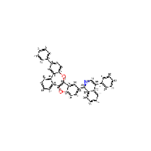 c1ccc(-c2ccc3c(c2)-c2ccccc2-c2oc4ccc(-c5ncc(-c6ccccc6)c6ccccc56)cc4c2O3)cc1